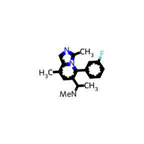 CNC(C)c1cc(C)c2cnc(C)n2c1-c1cccc(F)c1